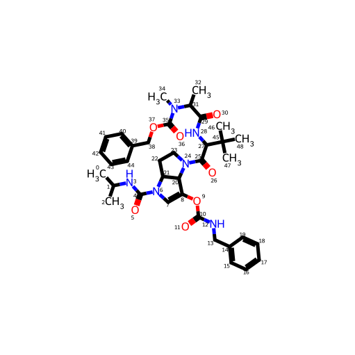 CC(C)NC(=O)N1C=C(OC(=O)NCc2ccccc2)C2C1CCN2C(=O)C(NC(=O)C(C)N(C)C(=O)OCc1ccccc1)C(C)(C)C